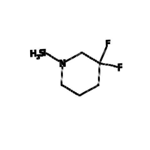 FC1(F)CCCN([SiH3])C1